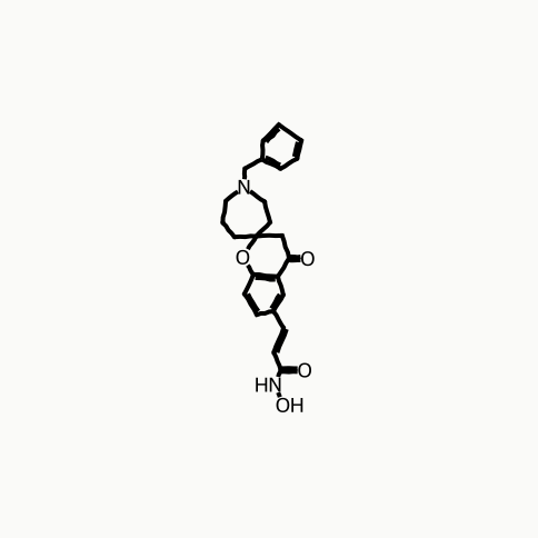 O=C(/C=C/c1ccc2c(c1)C(=O)CC1(CCCN(Cc3ccccc3)CC1)O2)NO